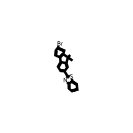 CC1(C)c2cc(Br)ccc2-c2ccc(-c3nc4ccccc4s3)cc21